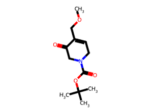 COCC1=CCN(C(=O)OC(C)(C)C)CC1=O